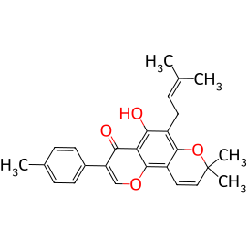 CC(C)=CCc1c2c(c3occ(-c4ccc(C)cc4)c(=O)c3c1O)C=CC(C)(C)O2